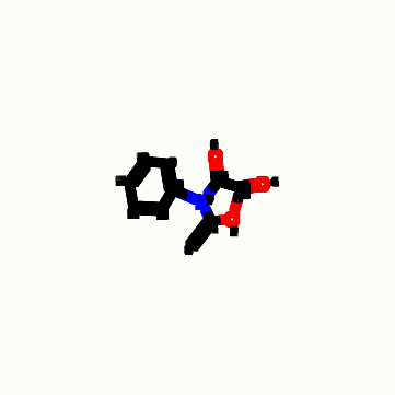 C=C1OC(=O)C(=O)N1c1ccccc1